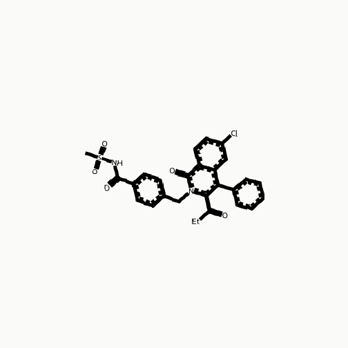 CCC(=O)c1c(-c2ccccc2)c2cc(Cl)ccc2c(=O)n1Cc1ccc(C(=O)NS(C)(=O)=O)cc1